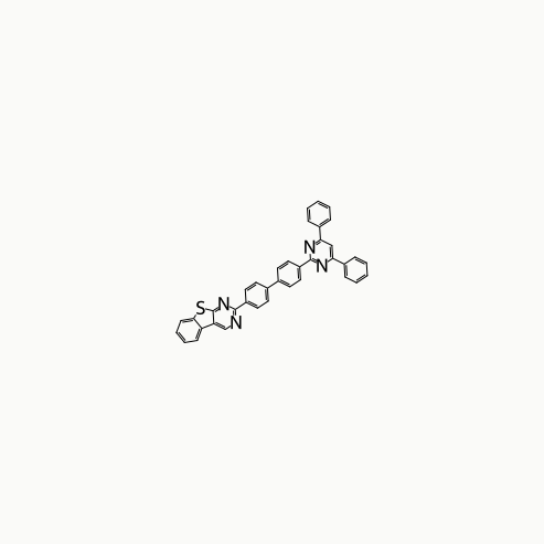 c1ccc(-c2cc(-c3ccccc3)nc(-c3ccc(-c4ccc(-c5ncc6c(n5)sc5ccccc56)cc4)cc3)n2)cc1